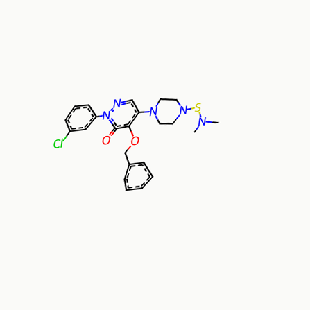 CN(C)SN1CCN(c2cnn(-c3cccc(Cl)c3)c(=O)c2OCc2ccccc2)CC1